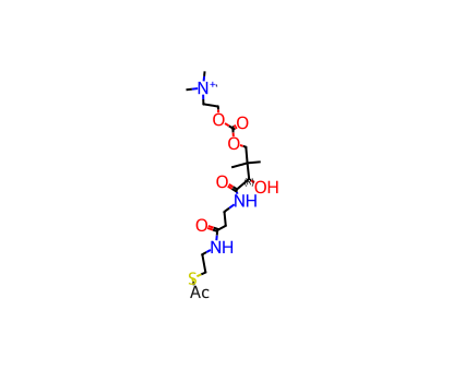 CC(=O)SCCNC(=O)CCNC(=O)[C@H](O)C(C)(C)COC(=O)OCC[N+](C)(C)C